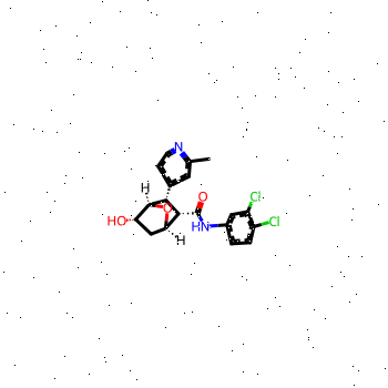 Cc1cc([C@H]2[C@H]3O[C@H](C[C@@H]3O)[C@H]2C(=O)Nc2ccc(Cl)c(Cl)c2)ccn1